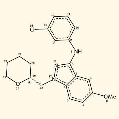 COc1ccc2c(c1)c(Nc1cccc(Cl)c1)nn2C[C@H]1CCCCO1